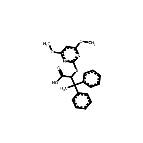 COc1cc(OC)nc(SC(C(=O)O)C(C)(c2ccccc2)c2ccccc2)n1